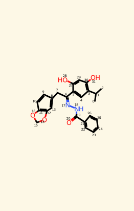 CC(C)c1cc(C(Cc2ccc3c(c2)OCO3)=NNC(=O)c2ccccc2)c(O)cc1O